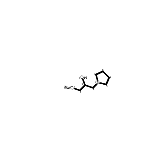 CC(C)COCC(O)CN1CCCC1